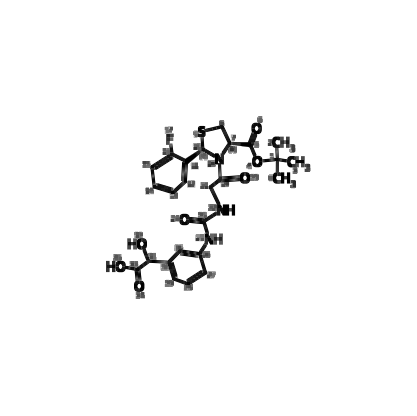 CC(C)(C)OC(=O)[C@@H]1CS[C@H](c2ccccc2F)N1C(=O)CNC(=O)Nc1cccc(C(O)C(=O)O)c1